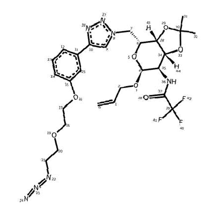 C=CCO[C@H]1O[C@H](Cn2cc(-c3cccc(OCCOCCN=[N+]=[N-])c3)nn2)[C@@H]2OC(C)(C)O[C@@H]2[C@H]1NC(=O)C(F)(F)F